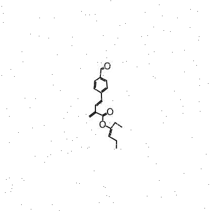 C=C(/C=C/c1ccc(C=O)cc1)C(=O)O/C(=C/CC)CC